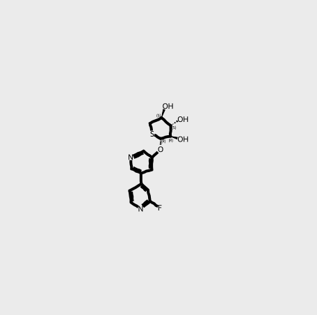 O[C@@H]1[C@@H](O)[C@H](Oc2cncc(-c3ccnc(F)c3)c2)SC[C@H]1O